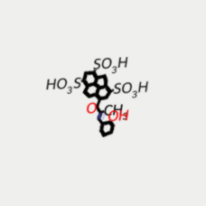 C/C(=C\c1ccccc1O)C(=O)c1cc(S(=O)(=O)O)c2ccc3c(S(=O)(=O)O)cc(S(=O)(=O)O)c4ccc1c2c43